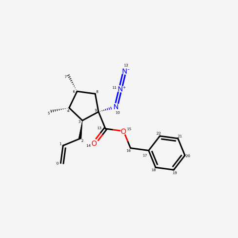 C=CC[C@H]1[C@H](C)[C@H](C)C[C@@]1(N=[N+]=[N-])C(=O)OCc1ccccc1